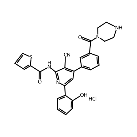 Cl.N#Cc1c(-c2cccc(C(=O)N3CCNCC3)c2)cc(-c2ccccc2O)nc1NC(=O)c1cccs1